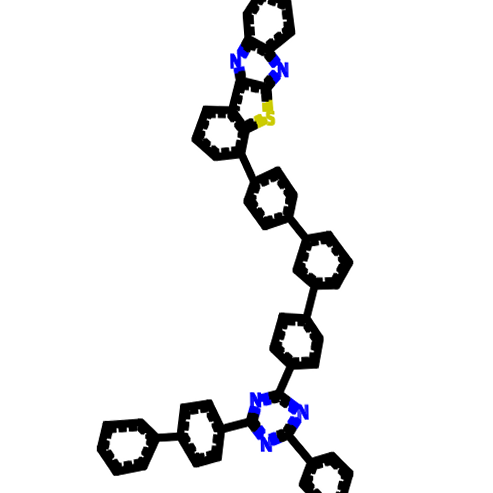 c1ccc(-c2ccc(-c3nc(-c4ccccc4)nc(-c4ccc(-c5cccc(-c6ccc(-c7cccc8c7sc7nc9ccccc9nc78)cc6)c5)cc4)n3)cc2)cc1